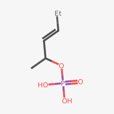 CCC=CC(C)OP(=O)(O)O